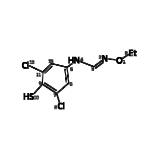 CCO/N=C/Nc1cc(Cl)c(S)c(Cl)c1